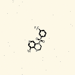 [2H]c1cncc2c1SCCN2S(=O)(=O)c1cccc(C(F)(F)F)c1